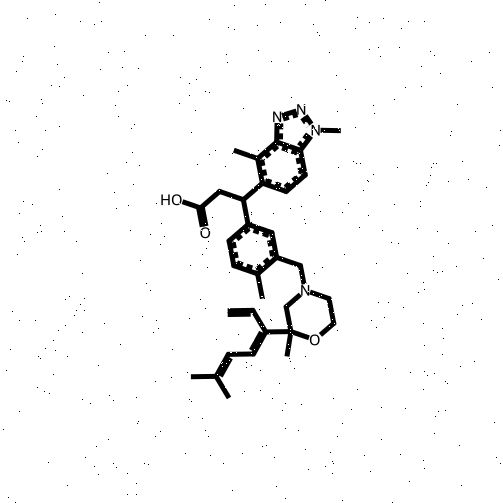 C=C/C(=C\C=C(C)C)C1(C)CN(Cc2cc(C(CC(=O)O)c3ccc4c(nnn4C)c3C)ccc2C)CCO1